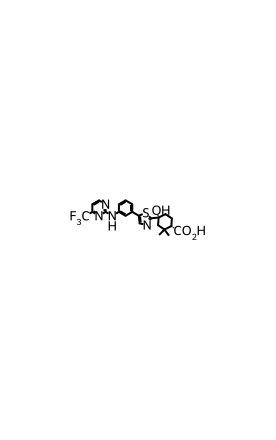 CC1(C)C[C@@](O)(c2ncc(-c3cccc(Nc4nccc(C(F)(F)F)n4)c3)s2)CC[C@@H]1C(=O)O